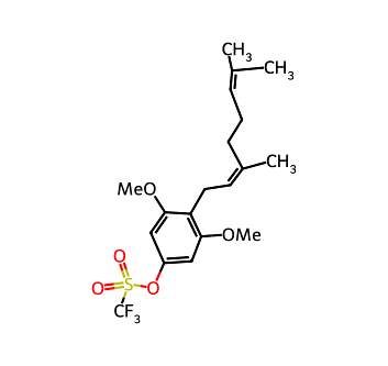 COc1cc(OS(=O)(=O)C(F)(F)F)cc(OC)c1CC=C(C)CCC=C(C)C